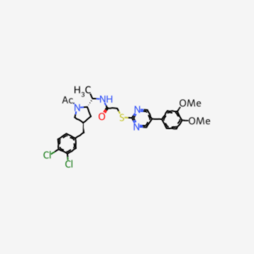 COc1ccc(-c2cnc(SCC(=O)NC(C)[C@@H]3C[C@@H](Cc4ccc(Cl)c(Cl)c4)CN3C(C)=O)nc2)cc1OC